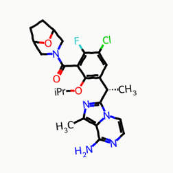 Cc1nc([C@@H](C)c2cc(Cl)c(F)c(C(=O)N3CC4CCC(C3)O4)c2OC(C)C)n2ccnc(N)c12